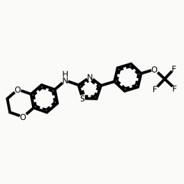 FC(F)(F)Oc1ccc(-c2csc(Nc3ccc4c(c3)OCCO4)n2)cc1